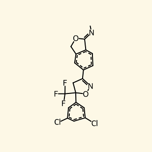 C/N=C1\OCc2cc(C3=NOC(c4cc(Cl)cc(Cl)c4)(C(F)(F)F)C3)ccc21